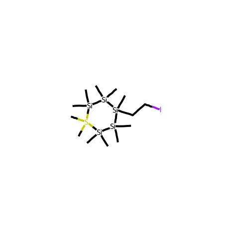 C[Si]1(C)[Si](C)(CCI)[Si](C)(C)[Si](C)(C)S(C)(C)[Si]1(C)C